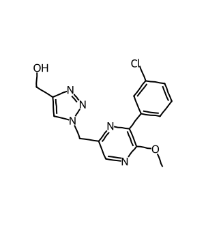 COc1ncc(Cn2cc(CO)nn2)nc1-c1cccc(Cl)c1